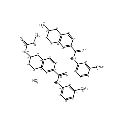 COc1cccc(NC(=O)c2ccc3c(c2)CCC(N)C3)c1.COc1cccc(NC(=O)c2ccc3c(c2)CCC(NC(=O)OC(C)(C)C)C3)c1.Cl